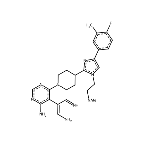 CNCCn1cc(-c2ccc(F)c(C)c2)nc1C1CCN(c2ncnc(N)c2/C(C=N)=C/N)CC1